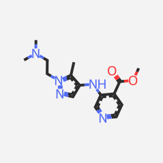 COC(=O)c1ccncc1Nc1cnn(CCN(C)C)c1C